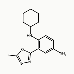 Cc1nnc(-c2cc(N)ccc2NC2CCCCC2)o1